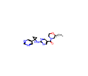 C[C@H]1CN(C(=O)c2cnc(NC3(c4cncnc4)CC3)nc2)CCO1